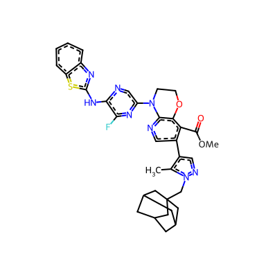 COC(=O)c1c(-c2cnn(CC34CC5CC(CC(C5)C3)C4)c2C)cnc2c1OCCN2c1cnc(Nc2nc3ccccc3s2)c(F)n1